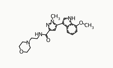 COc1cccc2c(-c3cc(C(=O)NCCN4CCOCC4)nn3C)c[nH]c12